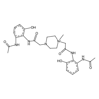 CC(=O)Nc1cccc(O)c1NC(=O)CN1CC[N+](C)(CC(=O)Nc2c(O)cccc2NC(C)=O)CC1